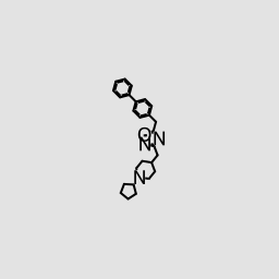 c1ccc(-c2ccc(Cc3nc(CC4CCN(C5CCCC5)CC4)no3)cc2)cc1